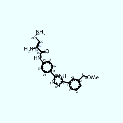 COCc1cccc(-c2nnc(-c3ccc(NC(=O)/C(N)=C/SN)cc3)[nH]2)c1